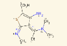 CC/C(=C1/C(N)=C(C(=O)O)S/C1=N/C)N(C)C